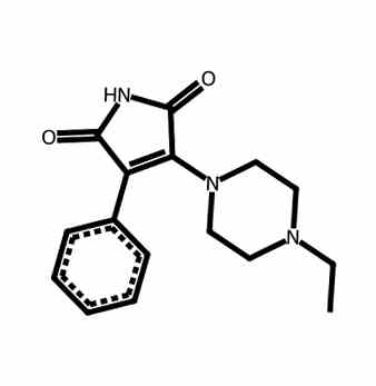 CCN1CCN(C2=C(c3ccccc3)C(=O)NC2=O)CC1